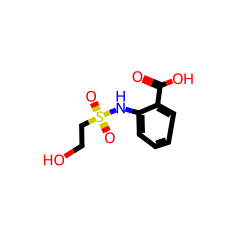 O=C(O)c1ccccc1NS(=O)(=O)CCO